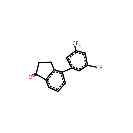 O=C1CCc2c1cccc2-c1cc(C(F)(F)F)cc(C(F)(F)F)c1